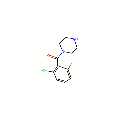 O=C(c1c(Cl)cccc1Cl)N1CCNCC1